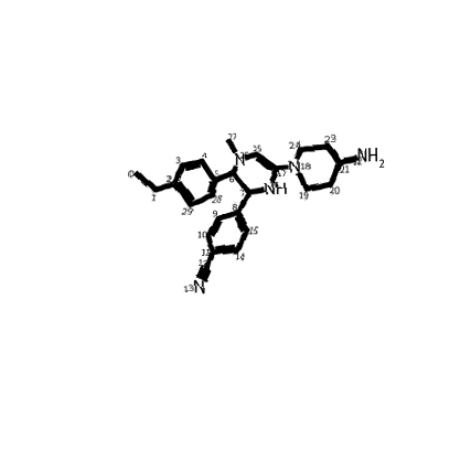 CCc1ccc(C2C(c3ccc(C#N)cc3)NC(N3CCC(N)CC3)=CN2C)cc1